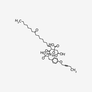 CCC#CCOc1ccc(C[C@H](NC(=O)[C@@H](/C=C/CCCCCCC(=O)CCCCCCC)[C@@](O)(CC(=O)O)C(=O)O)C(=O)O)cc1